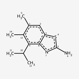 Cc1cc2sc(N)nc2c(C(C)C)c1C